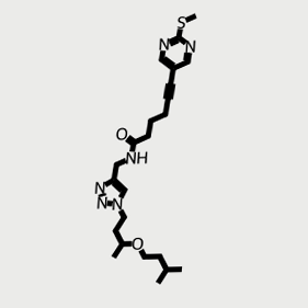 CSc1ncc(C#CCCCC(=O)NCc2cn(CCC(C)OCCC(C)C)nn2)cn1